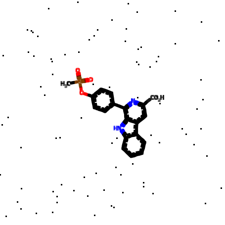 CS(=O)(=O)Oc1ccc(-c2nc(C(=O)O)cc3c2[nH]c2ccccc23)cc1